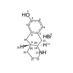 Br.Oc1ccc2c(c1)C[C@H]1CCCN[C@@H]1C2